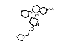 COc1ccc2c(c1)CC[C@H](c1ccccc1)[C@@H]2c1ccc(OCCN2CCCC2)nc1